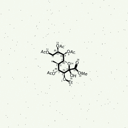 CCO[C@H]1[C@H](OC(C)=O)[C@@H](C)[C@H]([C@H](OC(C)=O)[C@@H](COC(C)=O)OC(C)=O)OC1(O)C(=O)OC